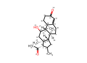 CC(=O)[C@H]1C(C)C[C@H]2[C@@H]3CCC4=CC(=O)CC[C@]4(C)[C@H]3C(O)C[C@]12C